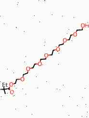 CCC(C)(C)C(=O)OCCOCCOCCOCCOCCOCCOCCOCCO